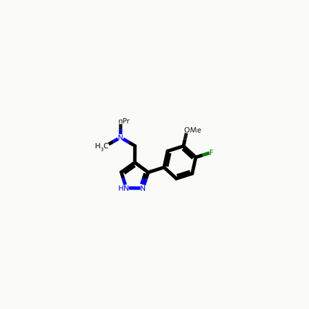 CCCN(C)Cc1c[nH]nc1-c1ccc(F)c(OC)c1